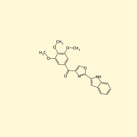 COc1cc(C(=O)c2coc(-c3cc4ccccc4[nH]3)n2)cc(OC)c1OC